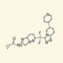 O=C(Nc1cn2nc(C(F)(F)c3nnc4ccc(-c5ccncc5)cn34)ccc2n1)C1CC1